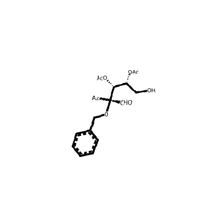 CC(=O)O[C@H]([C@@H](CO)OC(C)=O)[C@](C=O)(OCc1ccccc1)C(C)=O